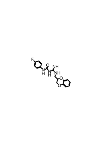 N=C(NCC1COc2ccccc2O1)NC(=O)Nc1ccc(F)cc1